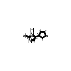 Ic1ncc(C2CCCC2)[nH]1